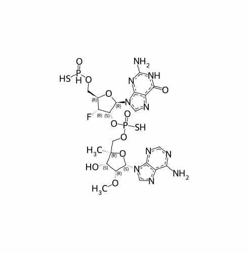 CO[C@H]1[C@@H](n2cnc3c(N)ncnc32)O[C@](C)(COP(=O)(S)O[C@@H]2[C@H](F)[C@@H](CO[PH](=O)S)O[C@H]2n2cnc3c(=O)[nH]c(N)nc32)[C@H]1O